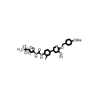 CCOc1cc(-c2ccc(NC(=O)Nc3cc(C(C)(C)C(F)(F)F)on3)c(F)c2)cnc1OCc1ccc(OC)cc1